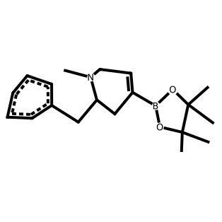 CN1CC=C(B2OC(C)(C)C(C)(C)O2)CC1Cc1ccccc1